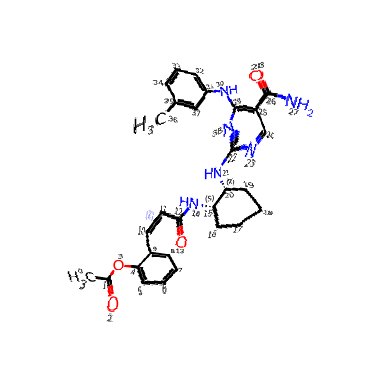 CC(=O)Oc1ccccc1/C=C\C(=O)N[C@H]1CCCC[C@H]1Nc1ncc(C(N)=O)c(Nc2cccc(C)c2)n1